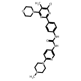 Cc1c(Cl)nc(-c2ccc(NC(=O)Nc3ccc(N4CCN(C)CC4)nc3)cc2)nc1N1CCOCC1